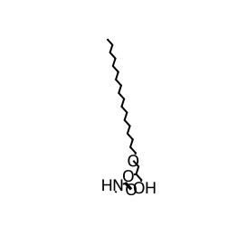 CCCCCCCCCCCCCCCCCCOCC(CO)OC(=O)NC